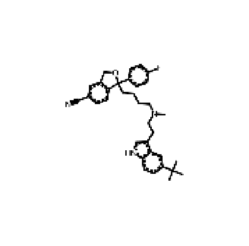 CN(CCCCC1(c2ccc(F)cc2)OCc2cc(C#N)ccc21)CCc1c[nH]c2ccc(C(C)(C)C)cc12